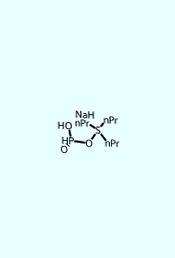 CCCS(CCC)(CCC)O[PH](=O)O.[NaH]